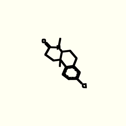 CN1C(=O)CCC2(C)c3ccc(Cl)cc3CCC12